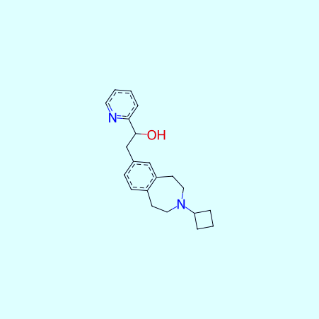 OC(Cc1ccc2c(c1)CCN(C1CCC1)CC2)c1ccccn1